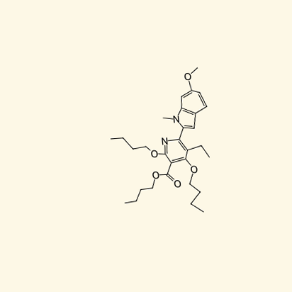 CCCCOC(=O)c1c(OCCCC)nc(-c2cc3ccc(OC)cc3n2C)c(CC)c1OCCCC